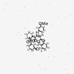 COc1ccc(C[C@H](NC(=O)[C@@H]2CCCCN2S(=O)(=O)c2cccc(C(F)(F)F)c2)C(=O)OCc2ccccc2)cc1